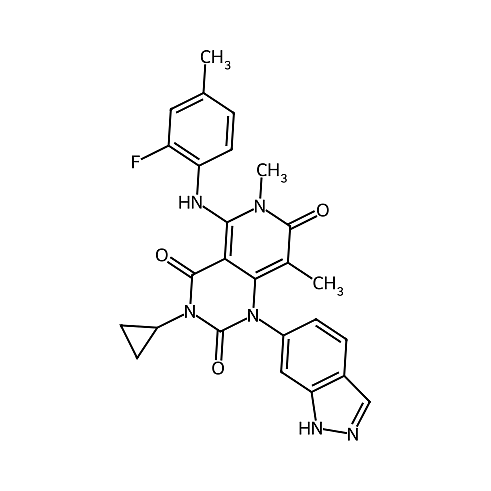 Cc1ccc(Nc2c3c(=O)n(C4CC4)c(=O)n(-c4ccc5cn[nH]c5c4)c3c(C)c(=O)n2C)c(F)c1